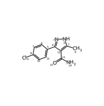 Cc1[nH]nc(-c2ccc(Cl)cc2)c1C(N)=O